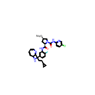 CO[C@@H]1C[C@H](C(=O)Nc2cc(C3(CCC4CC4)NC4C=CC=CN=C43)ccc2F)N(C(=O)Nc2ccc(Cl)cn2)C1